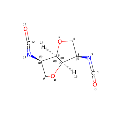 O=C=N[C@@H]1CO[C@H]2[C@@H]1OC[C@H]2N=C=O